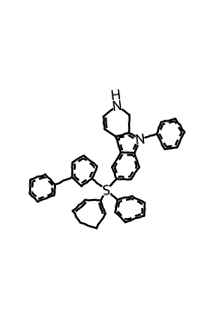 C1=CC(S(c2ccccc2)(c2cccc(-c3ccccc3)c2)c2ccc3c(c2)c2c(n3-c3ccccc3)CNC=C2)=CCC1